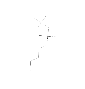 CC(C)(C)CC(C)(C)COCCN